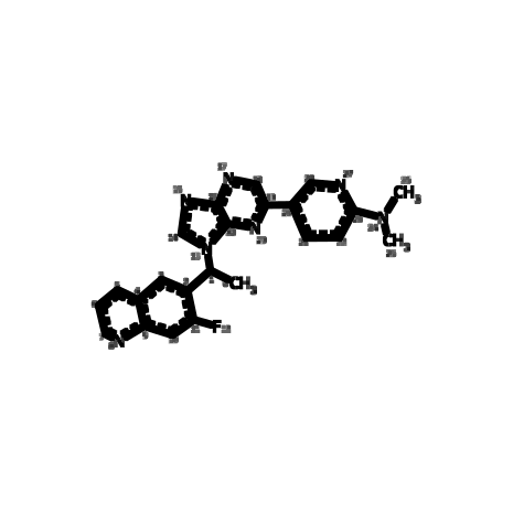 CC(c1cc2cccnc2cc1F)n1cnc2ncc(-c3ccc(N(C)C)nc3)nc21